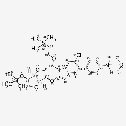 CC(C)(C)[Si](C)(C)O[C@@H]1CO[C@H]2[C@@H]1OC[C@H]2Oc1cc2nc(-c3ccc(N4CCOCC4)cc3)c(Cl)cc2n1COCC[Si](C)(C)C